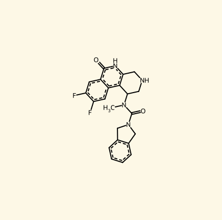 CN(C(=O)N1Cc2ccccc2C1)C1CNCc2[nH]c(=O)c3cc(F)c(F)cc3c21